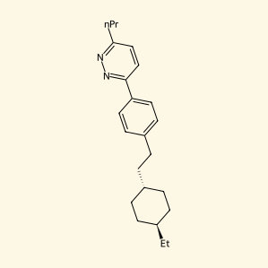 CCCc1ccc(-c2ccc(CC[C@H]3CC[C@H](CC)CC3)cc2)nn1